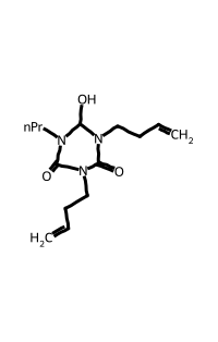 C=CCCN1C(=O)N(CCC)C(O)N(CCC=C)C1=O